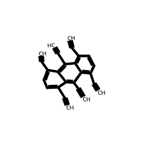 C#Cc1ccc(C#C)c2c(C#C)c3c(C#C)ccc(C#C)c3c(C#C)c12